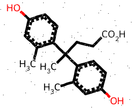 Cc1cc(O)ccc1C(C)(CCC(=O)O)c1ccc(O)cc1C